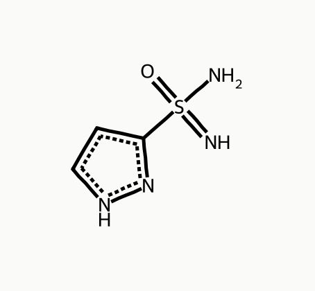 N=S(N)(=O)c1cc[nH]n1